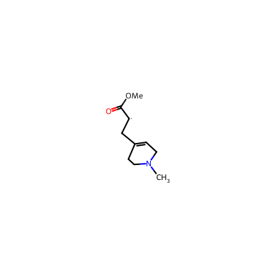 COC(=O)[CH]CC1=CCN(C)CC1